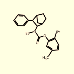 CCN(C(=O)Oc1cc(C)ccc1C(C)C)C1C2CCC(C2)C1c1ccccc1